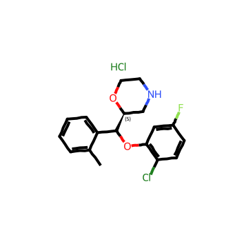 Cc1ccccc1C(Oc1cc(F)ccc1Cl)[C@@H]1CNCCO1.Cl